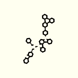 c1ccc(-c2nc(-c3ccc4c(c3)oc3ccccc34)nc(-n3c4ccccc4c4c5c6ccccc6n(-c6ccc(-c7ccc8c9ccccc9c9ccccc9c8c7)cc6)c5ccc43)n2)cc1